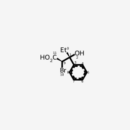 CC[C@@](O)(c1ccccc1)[C@@H](Br)C(=O)O